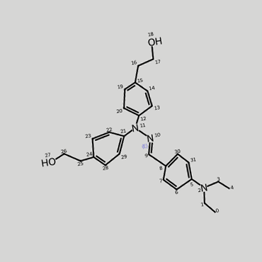 CCN(CC)c1ccc(/C=N/N(c2ccc(CCO)cc2)c2ccc(CCO)cc2)cc1